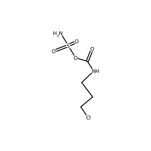 NS(=O)(=O)OC(=O)NCCCCl